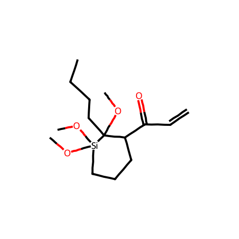 C=CC(=O)C1CCC[Si](OC)(OC)C1(CCCC)OC